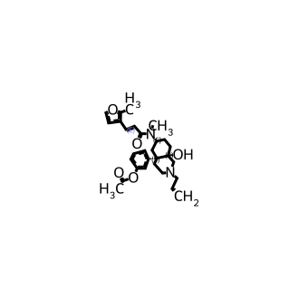 C=CCN1CC[C@@]2(c3cccc(OC(C)=O)c3)C[C@@H](N(C)C(=O)/C=C/c3ccoc3C)CC[C@]2(O)C1